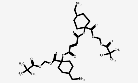 CC(C)(C)C(=O)OCOC(=O)C1(OC(=O)/C=C/C(=O)OC2(C(=O)OCOC(=O)C(C)(C)C)CCC(CN)CC2)CCC(CN)CC1